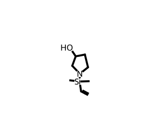 C=C[Si](C)(C)N1CCC(O)C1